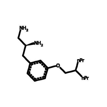 CCCC(CCC)COc1cccc(C[C@H](N)CN)c1